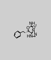 NC(=O)O[C@@H](CCc1ccccc1)c1nnc[nH]1